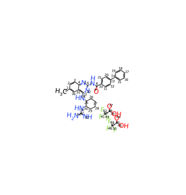 Cc1ccc2nc(NC(=O)c3ccc(-c4ccccc4)cc3)nc(NC3CCCCC3NC(=N)N)c2c1.O=C(O)C(F)(F)F.O=C(O)C(F)(F)F